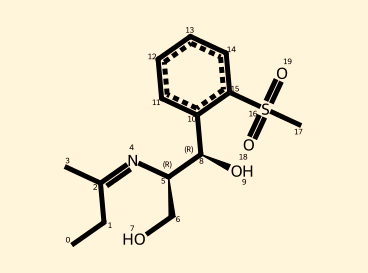 CCC(C)=N[C@H](CO)[C@H](O)c1ccccc1S(C)(=O)=O